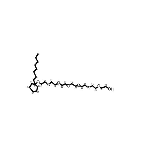 CCCCCCCCC1(OCCOCCOCCOCCOCCOCCOCCO)CCCCC1